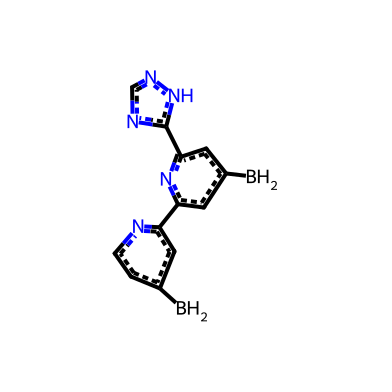 Bc1ccnc(-c2cc(B)cc(-c3ncn[nH]3)n2)c1